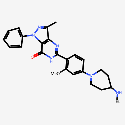 CCNC1CCN(c2ccc(-c3nc4c(C)nn(-c5ccccc5)c4c(=O)[nH]3)c(OC)c2)CC1